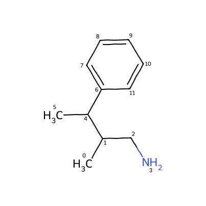 CC(CN)C(C)c1ccccc1